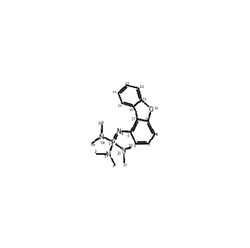 CN(C)P(=Nc1cccc2oc3ccccc3c12)(N(C)C)N(C)C